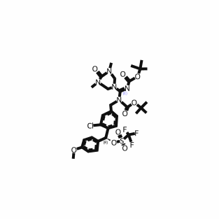 COc1ccc([C@@H](OS(=O)(=O)C(F)(F)F)c2ccc(CN(C(=O)OC(C)(C)C)/C(=N/C(=O)OC(C)(C)C)N3CN(C)C(=O)N(C)C3)cc2Cl)cc1